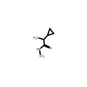 CNC(=O)C(C)C1CC1